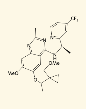 COCC1(C(C)Oc2cc3c(N[C@H](C)c4cc(C(F)(F)F)ccn4)nc(C)nc3cc2OC)CC1